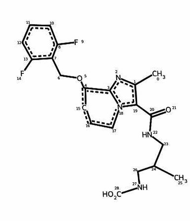 Cc1nc2c(OCc3c(F)cccc3F)cccn2c1C(=O)NCC(C)CNC(=O)O